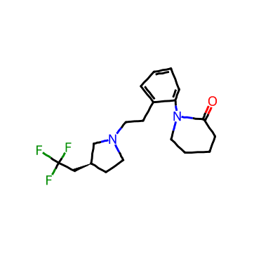 O=C1CCCCN1c1ccccc1CCN1CC[C@@H](CC(F)(F)F)C1